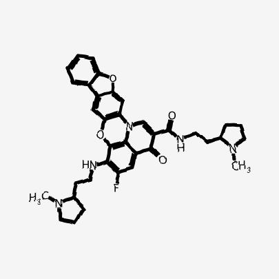 CN1CCCC1CCNC(=O)c1cn2c3c(c(NCCC4CCCN4C)c(F)cc3c1=O)Oc1cc3c(cc1-2)oc1ccccc13